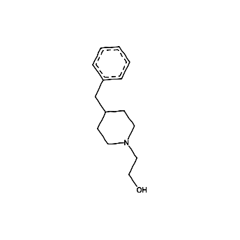 OCCN1CCC(Cc2ccccc2)CC1